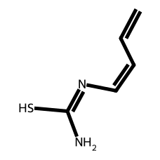 C=C/C=C\N=C(/N)S